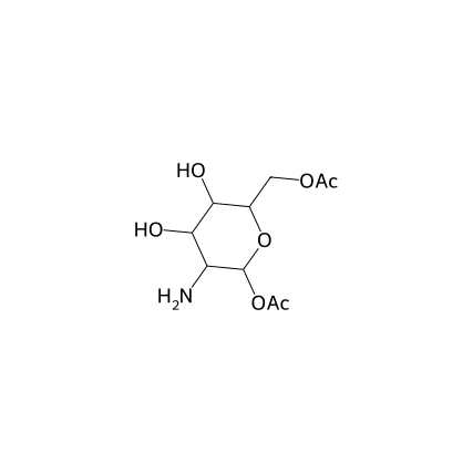 CC(=O)OCC1OC(OC(C)=O)C(N)C(O)C1O